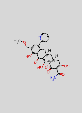 COCc1cc(-c2ccccn2)c2c(c1O)C(=O)C1=C(O)[C@]3(O)C(=O)C(C(N)=O)=C(O)C[C@@H]3C[C@@H]1C2